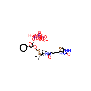 CC(C)(CNC(=O)CCCCC1SCC2NC(=O)NC21)SSCOC1C[C@H](C2CCCCCCC2)O[C@@H]1COP(=O)(O)OP(=O)(O)OP(=O)(O)O